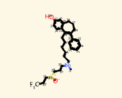 CN(CCCCCCC1=C(c2ccccc2)CCCc2cc(O)ccc21)CCC[S+]([O-])CCC(F)(F)F